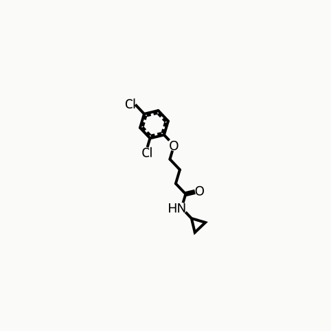 O=C(CCCOc1ccc(Cl)cc1Cl)NC1CC1